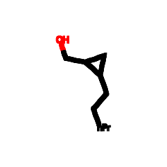 CCCCCC1CC1CO